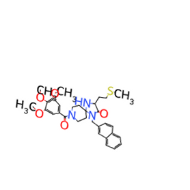 COc1cc(C(=O)N2CCC3(CC2)NC(CCSC)C(=O)N3Cc2ccc3ccccc3c2)cc(OC)c1OC